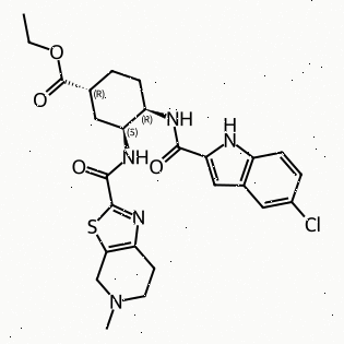 CCOC(=O)[C@@H]1CC[C@@H](NC(=O)c2cc3cc(Cl)ccc3[nH]2)[C@@H](NC(=O)c2nc3c(s2)CN(C)CC3)C1